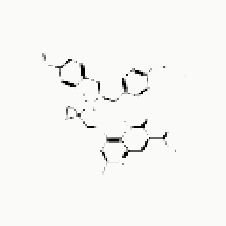 COc1ccc(CN(Cc2ccc(OC)cc2)S(=O)(=O)C2(COc3cc(Cl)nc4cc(C(=O)O)c(=O)n(C)c34)CC2)cc1